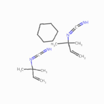 C1CCCCC1.C=CC(C)(C)N=C=N.C=CC(C)(C)N=C=N